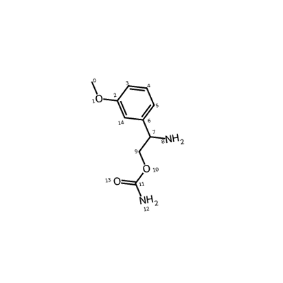 COc1cccc(C(N)COC(N)=O)c1